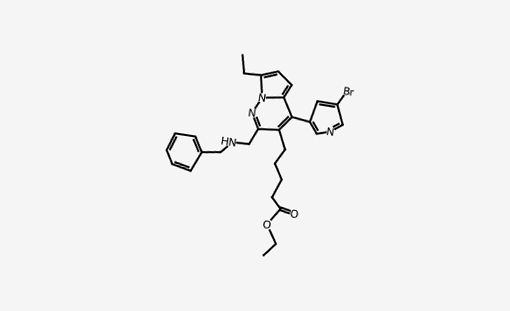 CCOC(=O)CCCCc1c(CNCc2ccccc2)nn2c(CC)ccc2c1-c1cncc(Br)c1